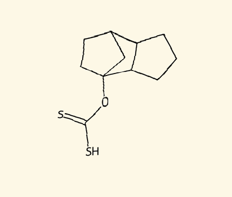 S=C(S)OC12CCC(C1)C1CCCC12